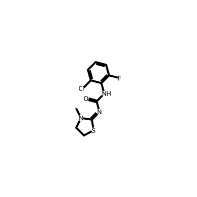 CN1CCSC1=NC(=O)Nc1c(F)cccc1Cl